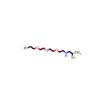 CC(C)CCOCCOCCOCCNC[C@H](C)S